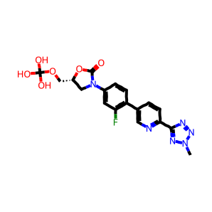 Cn1nnc(-c2ccc(-c3ccc(N4C[C@H](COC(O)(O)O)OC4=O)cc3F)cn2)n1